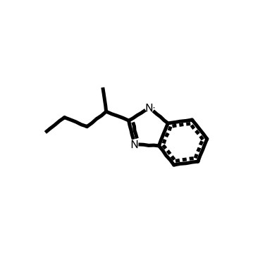 CCCC(C)C1=Nc2ccccc2[N]1